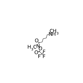 CNCCCCC(=O)N(C)OC(=O)C(F)(F)F